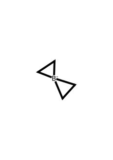 C1C[B-]12CC2